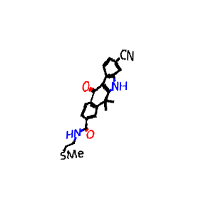 CSCCNC(=O)c1ccc2c(c1)C(C)(C)c1[nH]c3cc(C#N)ccc3c1C2=O